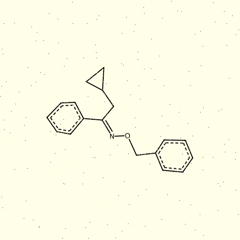 c1ccc(CO/N=C(\CC2CC2)c2ccccc2)cc1